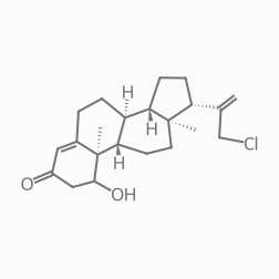 C=C(CCl)[C@H]1CC[C@H]2[C@@H]3CCC4=CC(=O)CC(O)[C@]4(C)[C@H]3CC[C@]12C